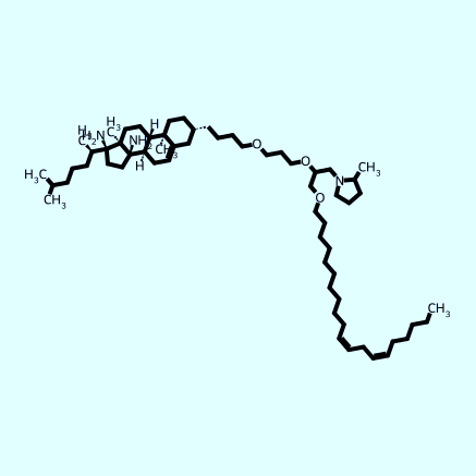 CCCCC/C=C\C/C=C\CCCCCCCCCCOCC(CN1CCCC1C)OCCCOCCCC[C@H]1CC[C@@]2(C)C(=CC[C@@H]3[C@@H]2CC[C@@]2(C)[C@@]3(N)CC[C@]2(N)[C@H](C)CCCC(C)C)C1